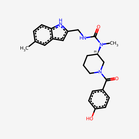 Cc1ccc2[nH]c(CNC(=O)N(C)[C@@H]3CCCN(C(=O)c4ccc(O)cc4)C3)cc2c1